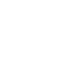 O=C(Nc1cccnc1)Nc1cc(C(=O)NO)cc(-c2ccc(-c3cccnc3)cc2)n1